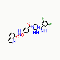 N=C1CN(C(=O)c2ccc(ONOc3cccc4cccnc34)cc2)CCN1C(=N)c1cc(F)cc(F)c1